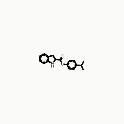 CC(C)c1ccc(OC(=O)C2Cc3ccccc3N2)cc1